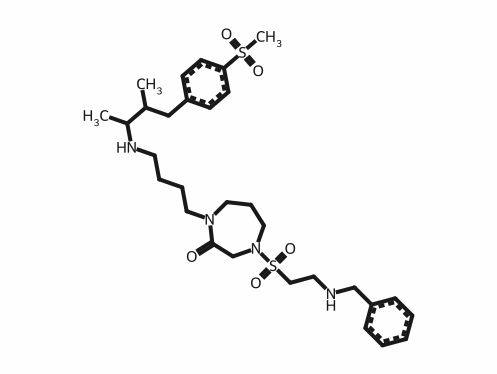 CC(Cc1ccc(S(C)(=O)=O)cc1)C(C)NCCCCN1CCCN(S(=O)(=O)CCNCc2ccccc2)CC1=O